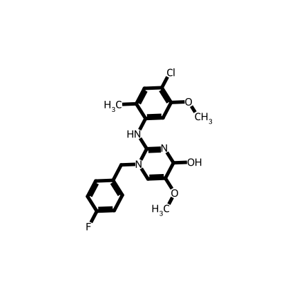 COC1=CN(Cc2ccc(F)cc2)C(Nc2cc(OC)c(Cl)cc2C)=NC1O